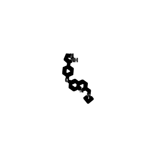 c1cc(-c2ccc(Oc3ccc4nc(CN5CCC5)ccc4c3)cc2)[nH]n1